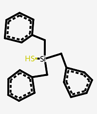 S[Si](Cc1ccccc1)(Cc1ccccc1)Cc1ccccc1